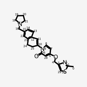 Cc1nc(COc2ccn(C3=Cc4ccc(CN5CCCC5)cc4CC3)c(=O)c2)cs1